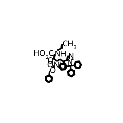 CC=CCNC(C(=O)O)C(=O)C(CC(=O)c1cncn1C(c1ccccc1)(c1ccccc1)c1ccccc1)NC(=O)OCc1ccccc1